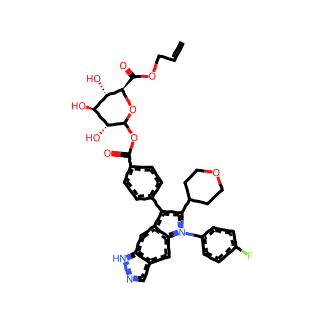 C=CCOC(=O)[C@H]1OC(OC(=O)c2ccc(-c3c(C4CCOCC4)n(-c4ccc(F)cc4)c4cc5cn[nH]c5cc34)cc2)[C@H](O)[C@@H](O)[C@@H]1O